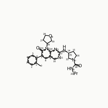 Cc1ccccc1-c1cc2cnc(N[C@H]3CCN(C(=O)NC(C)C)C3)nc2n(C2CCOC2)c1=O